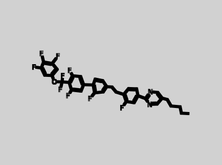 CCCCCc1cnc(-c2ccc(CCc3ccc(-c4cc(F)c(C(F)(F)Oc5cc(F)c(F)c(F)c5)c(F)c4)c(F)c3)c(F)c2)nc1